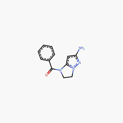 Nc1cc2n(n1)CCN2C(=O)c1ccccc1